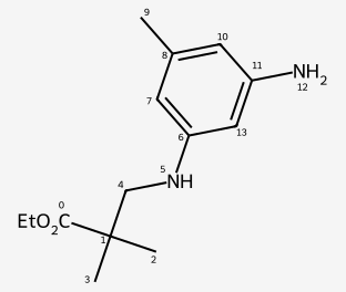 CCOC(=O)C(C)(C)CNc1cc(C)cc(N)c1